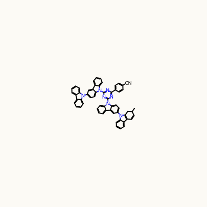 CC1C=Cc2c(n(-c3ccc4c(c3)c3ccccc3n4-c3nc(-c4ccc(C#N)cc4)nc(-n4c5ccccc5c5cc(-n6c7ccccc7c7ccccc76)ccc54)n3)c3ccccc23)C1